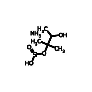 CC(O)C(C)(C)O[Si](=O)O.N